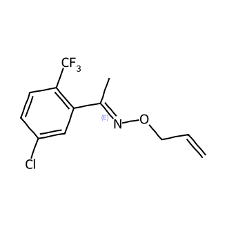 C=CCO/N=C(\C)c1cc(Cl)ccc1C(F)(F)F